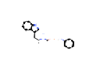 O=C(O)[C@H](Cc1c[nH]c2ccccc12)NCOSNc1ccccc1